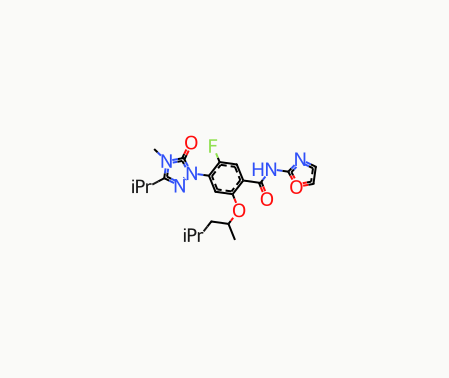 CC(C)CC(C)Oc1cc(-n2nc(C(C)C)n(C)c2=O)c(F)cc1C(=O)Nc1ncco1